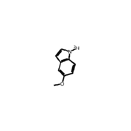 [2H]n1ccc2cc(OC)ccc21